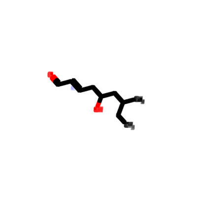 CCC(C)CC(O)C/C=C/C=O